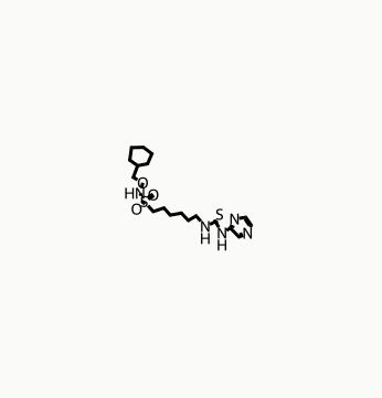 O=S(=O)(CCCCCCNC(=S)Nc1cnccn1)NOCC1CCCCC1